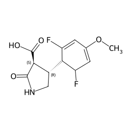 COC1=CC(F)C([C@@H]2CNC(=O)[C@H]2C(=O)O)C(F)=C1